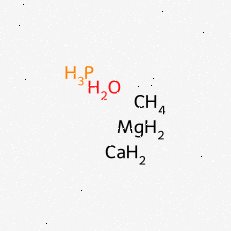 C.O.P.[CaH2].[MgH2]